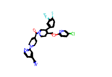 N#Cc1ccnc(N2CCC(C(=O)N3CCC(COc4ccc(Cl)cn4)C(c4ccc(F)c(F)c4)C3)CC2)c1